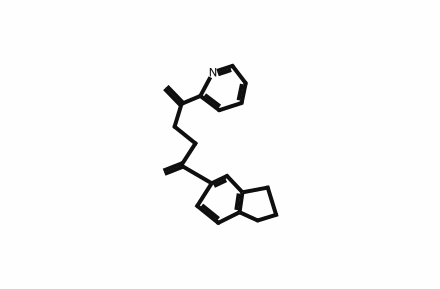 C=C(CCC(=C)c1ccccn1)c1ccc2c(c1)CCC2